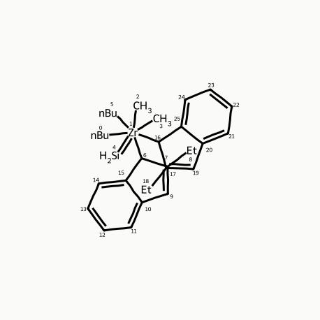 CCC[CH2][Zr]([CH3])([CH3])(=[SiH2])([CH2]CCC)([CH]1C(CC)=Cc2ccccc21)[CH]1C(CC)=Cc2ccccc21